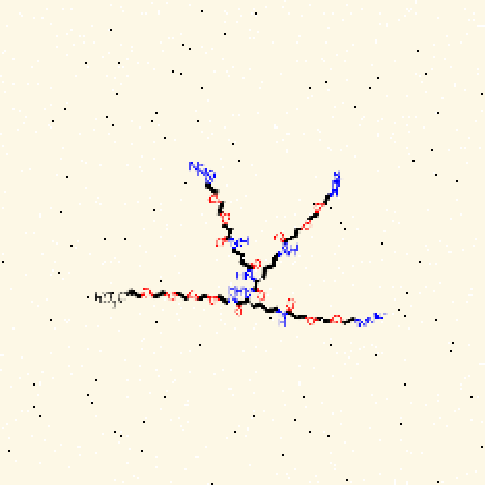 [N-]=[N+]=NCCOCCOCCC(=O)NCCCC[C@H](NC(=O)CCCNC(=O)CCOCCOCCN=[N+]=[N-])C(=O)N[C@@H](CCCCNC(=O)CCOCCOCCN=[N+]=[N-])C(=O)NCCOCCOCCOCCOCCC(=O)O